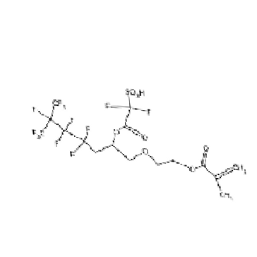 C=C(C)C(=O)OCCOCC(CC(F)(F)C(F)(F)C(F)(C(F)(F)F)C(F)(F)F)OC(=O)C(F)(F)S(=O)(=O)O